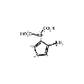 Nc1cnsc1.O=C(O)NC(=O)O